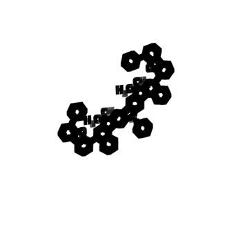 CC1(C)c2cc3c4cc5c(cc4n(-c4ccccc4)c3cc2-c2c1cc(-c1cccc3c1oc1c(-c4ccccc4)cccc13)c1ccccc21)-c1c(cc(-c2cccc3c2oc2c(-c4ccccc4)cccc23)c2ccccc12)C5(C)C